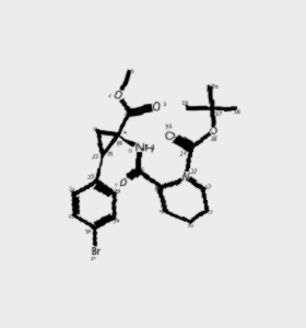 COC(=O)[C@@]1(NC(=O)C2CCCCN2C(=O)OC(C)(C)C)C[C@@H]1c1ccc(Br)cc1